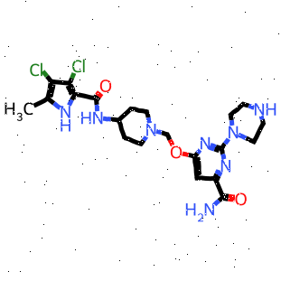 Cc1[nH]c(C(=O)NC2CCN(COc3cc(C(N)=O)nc(N4CCNCC4)n3)CC2)c(Cl)c1Cl